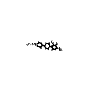 CCCCC[SiH]1CCC(C2CCC(c3ccc(OCC)c(F)c3F)CC2)CC1